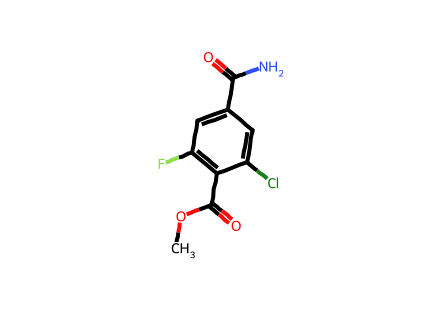 COC(=O)c1c(F)cc(C(N)=O)cc1Cl